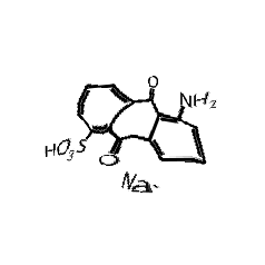 Nc1cccc2c1C(=O)c1cccc(S(=O)(=O)O)c1C2=O.[Na]